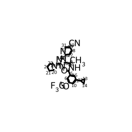 C[C@H](NC(=O)c1cc(OC(F)(F)F)cc(C2CC2)c1)c1nc(N2CCCC2)nn1-c1ccc(C#N)cn1